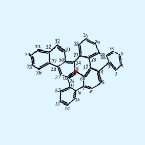 c1ccc(-c2ccc3c(ccc4ccccc43)c2-c2ccccc2-c2cccc3c2ccc2ccccc23)cc1